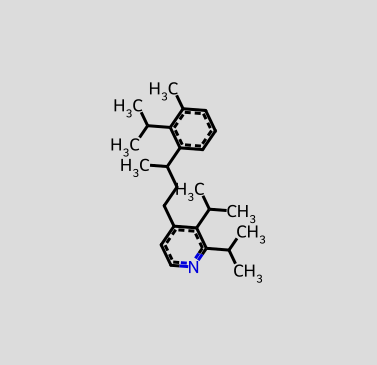 Cc1cccc(C(C)CCc2ccnc(C(C)C)c2C(C)C)c1C(C)C